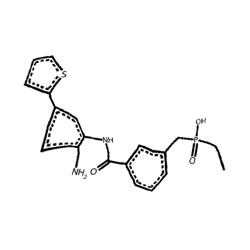 CCP(=O)(O)Cc1cccc(C(=O)Nc2cc(-c3cccs3)ccc2N)c1